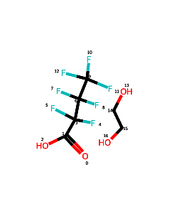 O=C(O)C(F)(F)C(F)(F)C(F)(F)F.OCCO